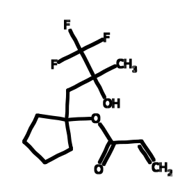 C=CC(=O)OC1(CC(C)(O)C(F)(F)F)CCCC1